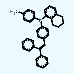 Cc1ccc(N(c2ccc(C=C(c3ccccc3)c3ccccc3)cc2)c2cccc3c2CCCC3)cc1